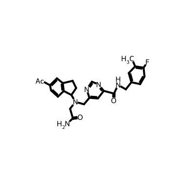 CC(=O)c1ccc2c(c1)CCC2N(CC(N)=O)Cc1cc(C(=O)NCc2ccc(F)c(C)c2)ncn1